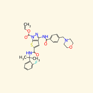 C=COC(=O)n1nc(NC(=O)c2ccc(CN3CCOCC3)cc2)c2cc(C(=O)NC(C)(C)c3ccccc3F)sc21